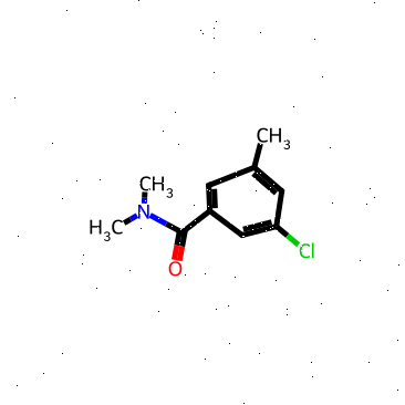 Cc1cc(Cl)cc(C(=O)N(C)C)c1